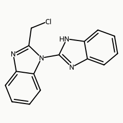 ClCc1nc2ccccc2n1-c1nc2ccccc2[nH]1